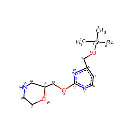 CC(C)(C)[Si](C)(C)OCc1ccnc(OCC2CNCCO2)n1